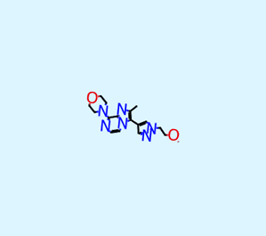 COCCn1cc(-c2c(C)nc3c(N4CCOCC4)nccn23)cn1